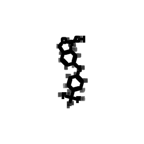 OB1OCc2ccc(Sc3ccc(C(F)(F)F)cc3)cc21